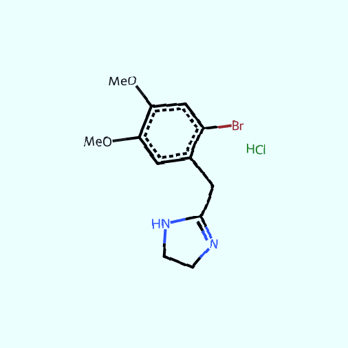 COc1cc(Br)c(CC2=NCCN2)cc1OC.Cl